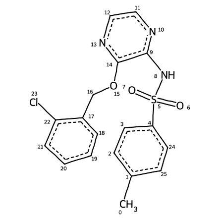 Cc1ccc(S(=O)(=O)Nc2nccnc2OCc2ccccc2Cl)cc1